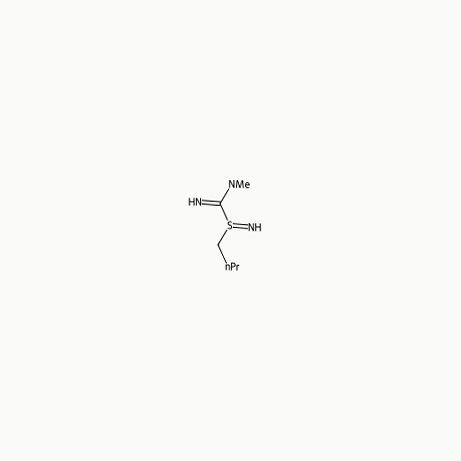 CCCCS(=N)C(=N)NC